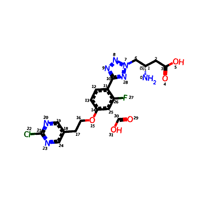 N[C@@H](CC(=O)O)Cn1nnc(-c2ccc(OCCc3cnc(Cl)nc3)cc2F)n1.O=CO